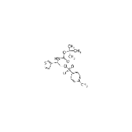 Cc1ccc(S(=O)(=O)OCC(NC(=O)OC(C)(C)C)c2ccsc2)cc1